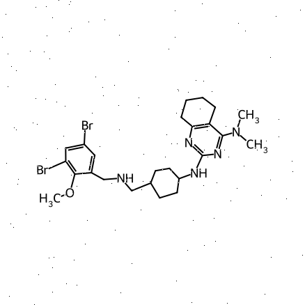 COc1c(Br)cc(Br)cc1CNCC1CCC(Nc2nc3c(c(N(C)C)n2)CCCC3)CC1